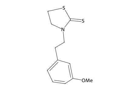 COc1cccc(CCN2CCSC2=S)c1